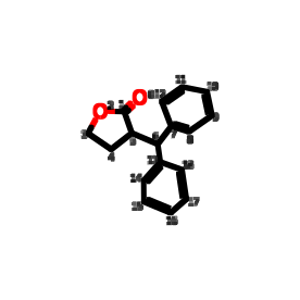 O=C1OCCC1C(c1ccccc1)c1ccccc1